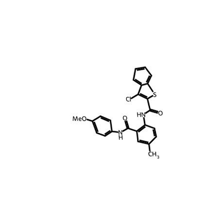 COc1ccc(NC(=O)c2cc(C)ccc2NC(=O)c2sc3ccccc3c2Cl)cc1